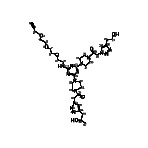 C#CCOCCOCCOCCNc1nc(N2CCN(C(=O)Cn3cc(CCO)nn3)CC2)nc(N2CCN(C(=O)Cn3cc(CC(C)O)nn3)CC2)n1